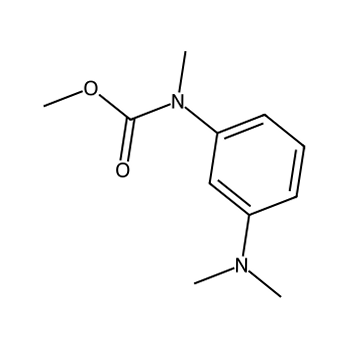 COC(=O)N(C)c1cccc(N(C)C)c1